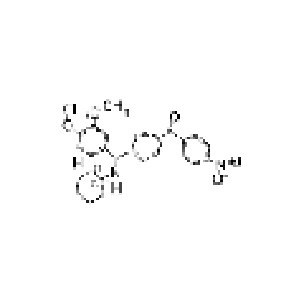 COc1cc2c(cc1OC)[C@@H]1CCCC[C@@H]1N=C2c1ccc(C(=O)c2ccc([N+](=O)[O-])cc2)cc1